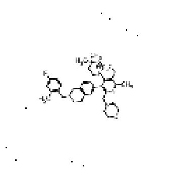 Cc1cc(F)ccc1CN1CCc2cc(-c3c(CN4CCOCC4)nc(C)c(CC(=O)O)c3N3CCC(C)(C)CC3)ccc2C1